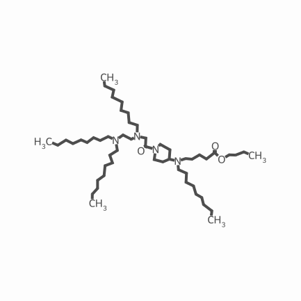 CCCCCCCCCN(CCCCCCCCC)CCN(CCCCCCCCC)CC(=O)N1CCC(N(CCCCCCCCC)CCCCC(=O)OCCCC)CC1